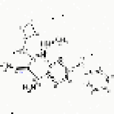 CNN=C(NC1CCC1)/C(=C\N)C(N)c1ccc(Oc2ccccc2)cc1